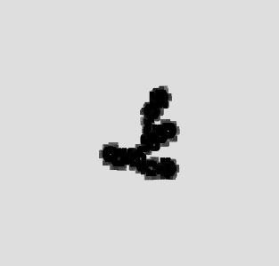 O=C(/C=C/C(=O)ON(CCCN1CCN(c2ncccn2)CC1)C1=Nc2ccccc2CC1)ON(CCCN1CCN(c2ncccn2)CC1)C1=Nc2ccccc2CC1